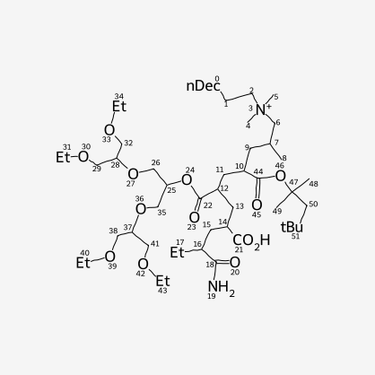 CCCCCCCCCCCC[N+](C)(C)CC(C)CC(CC(CC(CC(CC)C(N)=O)C(=O)O)C(=O)OC(COC(COCC)COCC)COC(COCC)COCC)C(=O)OC(C)(C)CC(C)(C)C